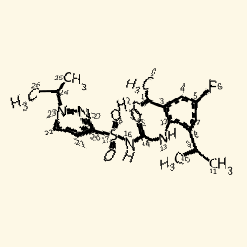 CC(C)c1cc(F)cc(C(C)C)c1NC(=O)NS(=O)(=O)c1ccn(C(C)C)n1